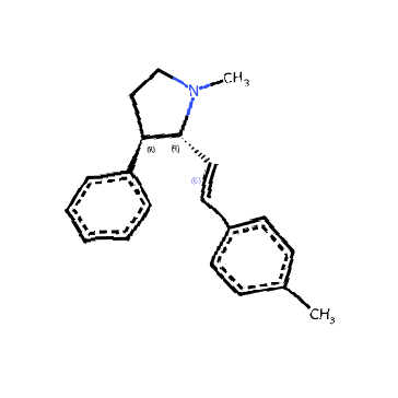 Cc1ccc(/C=C/[C@@H]2[C@@H](c3ccccc3)CCN2C)cc1